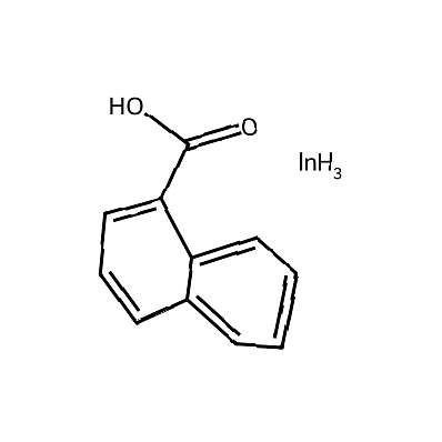 O=C(O)c1cccc2ccccc12.[InH3]